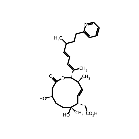 C/C(=C\C=C\C(C)CCc1ccccn1)[C@H]1OC(=O)C[C@H](O)CC[C@@](C)(O)[C@@H](CC(=O)O)/C=C/[C@@H]1C